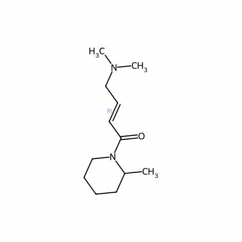 CC1CCCCN1C(=O)/C=C/CN(C)C